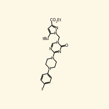 CCOC(=O)c1cc(C(C)(C)C)n(Cn2cnc(N3CCN(c4ccc(F)cc4)CC3)nc2=O)n1